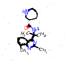 Cc1nc(C(C)(C)NC(=O)[C@H]2CCCNC2)c2cccc(C)c2n1